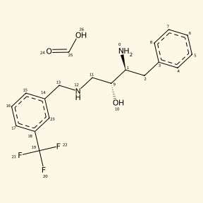 N[C@@H](Cc1ccccc1)[C@H](O)CNCc1cccc(C(F)(F)F)c1.O=CO